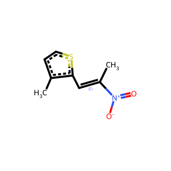 C/C(=C\c1sccc1C)[N+](=O)[O-]